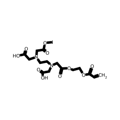 C=CC(=O)OCCOC(=O)CN(CCN(CC(=O)O)CC(=O)OI)CC(=O)O